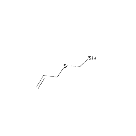 C=CCSCS